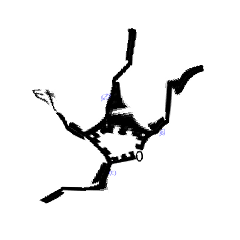 C=C/C=c1/c(=CCC)/c(=C\C=C)o/c1=C/C=C